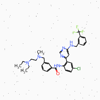 CCN(CC)CCN(C)Cc1cccc(C(=O)Nc2ccc(Cl)cc2-c2cc(NCc3cccc(C(F)(F)F)c3)ncn2)c1